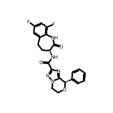 O=C(N[C@H]1CCc2cc(F)cc(F)c2NC1=O)c1nc2n(n1)CCO[C@@H]2c1ccccc1